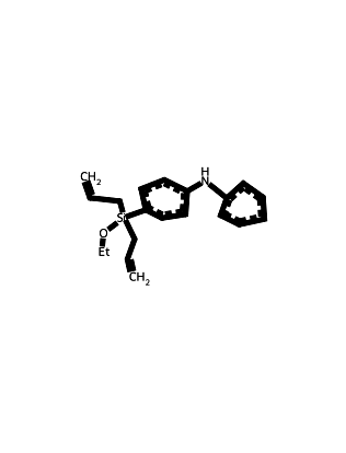 C=CC[Si](CC=C)(OCC)c1ccc(Nc2ccccc2)cc1